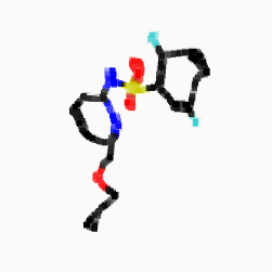 O=S(=O)(Nc1cccc(COCC2CC2)n1)c1cc(F)ccc1F